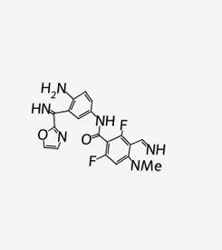 CNc1cc(F)c(C(=O)Nc2ccc(N)c(C(=N)c3ncco3)c2)c(F)c1C=N